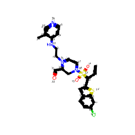 C=CC(c1cc2ccc(Cl)cc2s1)S(=O)(=O)N1CCN(CCNc2ccncc2C)C(C=O)C1